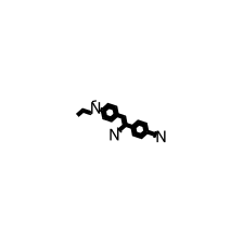 CCCN(C)c1ccc(/C=C(\C#N)c2ccc(C#N)cc2)cc1